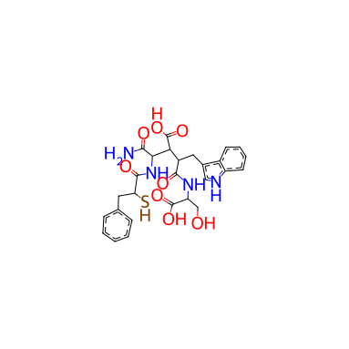 NC(=O)C(NC(=O)C(S)Cc1ccccc1)C(C(=O)O)C(Cc1c[nH]c2ccccc12)C(=O)NC(CO)C(=O)O